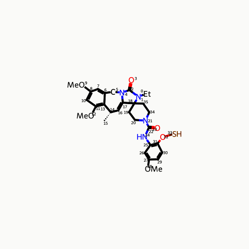 CCN1C(=O)N2Cc3cc(OC)cc(OC)c3[C@@H](C)C=C2C12CCN(C(=O)Nc1cc(OC)ccc1OS)CC2